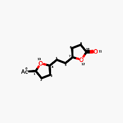 CC(=O)C1CCC(CCC2CCC(=O)O2)O1